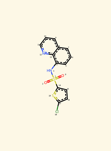 O=S(=O)(Nc1cccc2cccnc12)c1ccc(Cl)s1